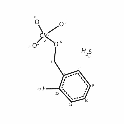 S.[O-][Cl+3]([O-])([O-])OCc1ccccc1F